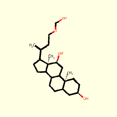 CC(CCOCO)C1CCC2C3CCC4C[C@H](O)CC[C@]4(C)C3C[C@H](O)[C@]12C